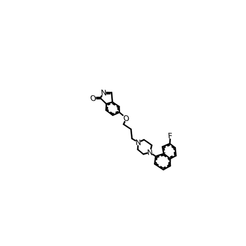 O=C1N=Cc2cc(OCCCN3CCN(c4cccc5ccc(F)cc45)CC3)ccc21